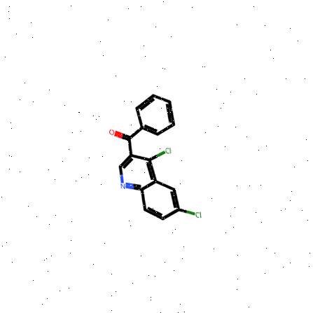 O=C(c1ccccc1)c1cnc2ccc(Cl)cc2c1Cl